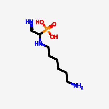 N=CC(NCCCCCCN)P(=O)(O)O